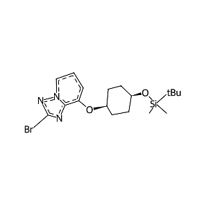 CC(C)(C)[Si](C)(C)O[C@H]1CC[C@@H](Oc2cccn3nc(Br)nc23)CC1